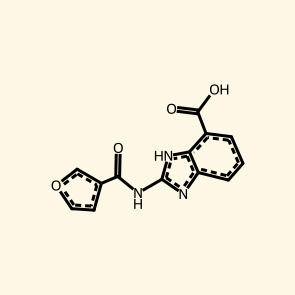 O=C(Nc1nc2cccc(C(=O)O)c2[nH]1)c1ccoc1